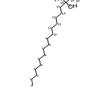 CCCCCCCCCCCCCCCCC(O)(O)C(C)=O